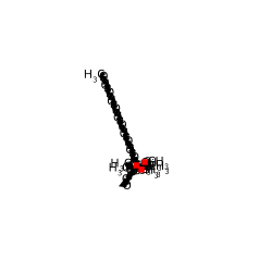 COCCOCCOCCOCCOCCOCCOCCOCCOCCOCCOCCC[Si](C)(O[Si](C)(C)O[Si](C)(C)C)O[Si](C)(CCCOC1CO1)O[Si](C)(C)C